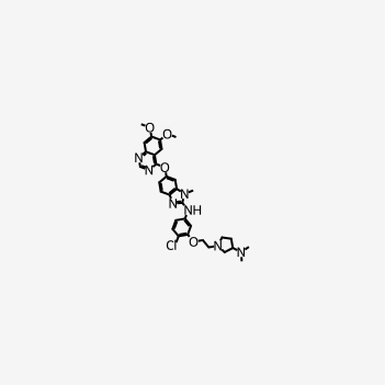 COc1cc2ncnc(Oc3ccc4nc(Nc5ccc(Cl)c(OCCN6CCC(N(C)C)C6)c5)n(C)c4c3)c2cc1OC